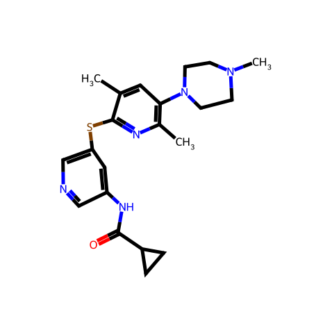 Cc1cc(N2CCN(C)CC2)c(C)nc1Sc1cncc(NC(=O)C2CC2)c1